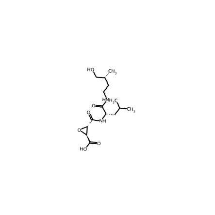 CC(C)C[C@H](NC(=O)[C@H]1O[C@@H]1C(=O)O)C(=O)NCC[C@@H](C)CO